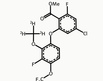 [2H]C([2H])([2H])Oc1c(Oc2cc(Cl)cc(F)c2C(=O)OC)ccc(OC(F)(F)F)c1F